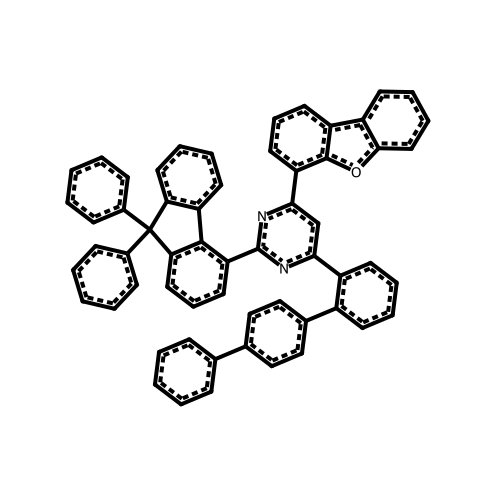 c1ccc(-c2ccc(-c3ccccc3-c3cc(-c4cccc5c4oc4ccccc45)nc(-c4cccc5c4-c4ccccc4C5(c4ccccc4)c4ccccc4)n3)cc2)cc1